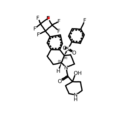 O=C(N1CC[C@@]2(S(=O)(=O)c3ccc(F)cc3)c3ccc(C(F)(C(F)(F)F)C(F)(F)F)cc3CC[C@@H]12)C1(O)CCNCC1